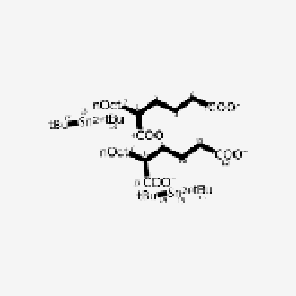 CCCCCCCCC(CCCC(=O)[O-])C(=O)[O-].CCCCCCCCC(CCCC(=O)[O-])C(=O)[O-].C[C](C)(C)[Sn+2][C](C)(C)C.C[C](C)(C)[Sn+2][C](C)(C)C